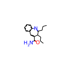 CCCC1=Nc2ccccc2C=C(C(N)=O)C1CCC